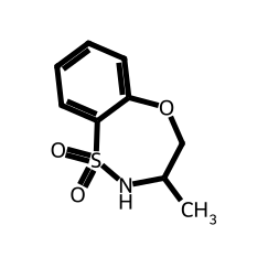 CC1COc2ccccc2S(=O)(=O)N1